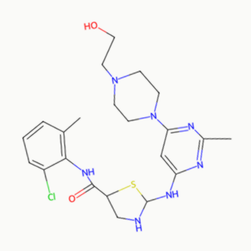 Cc1nc(NC2NCC(C(=O)Nc3c(C)cccc3Cl)S2)cc(N2CCN(CCO)CC2)n1